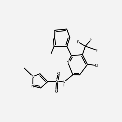 Cc1ccccc1-c1nc(NS(=O)(=O)c2cnn(C)c2)cc(Cl)c1C(F)(F)F